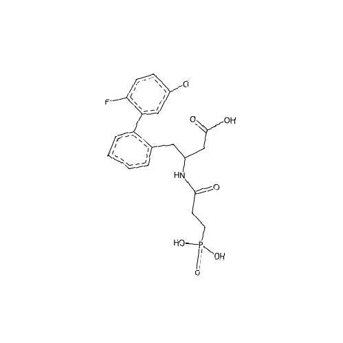 O=C(O)CC(Cc1ccccc1-c1cc(Cl)ccc1F)NC(=O)CCP(=O)(O)O